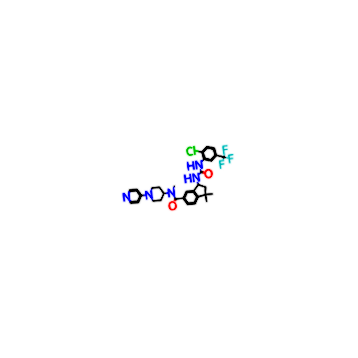 CN(C(=O)c1ccc2c(c1)C(NC(=O)Nc1cc(C(F)(F)F)ccc1Cl)CC2(C)C)C1CCN(c2ccncc2)CC1